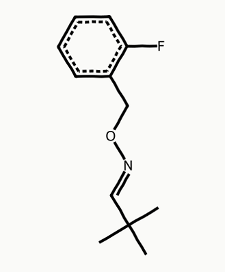 CC(C)(C)C=NOCc1ccccc1F